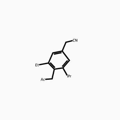 CCc1cc(CC#N)cc(C(C)C)c1CC(C)=O